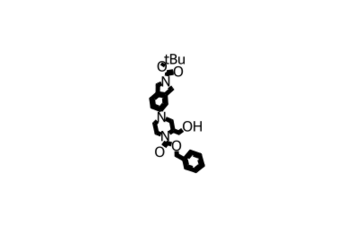 CC(C)(C)OC(=O)N1Cc2ccc(N3CCN(C(=O)OCc4ccccc4)C(CO)C3)cc2C1